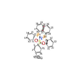 CCCCc1ccc(S(=O)(=O)N(P(c2ccccc2)c2ccccc2)P(c2ccccc2)c2ccccc2)cc1